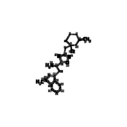 C=C1CCCC(CC)(Cc2noc(C(N)Cc3cn(C)c4ccccc34)n2)C1